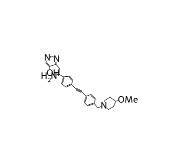 COC1CCN(Cc2ccc(C#Cc3ccc(C(N)Cc4ncncc4O)cc3)cc2)CC1